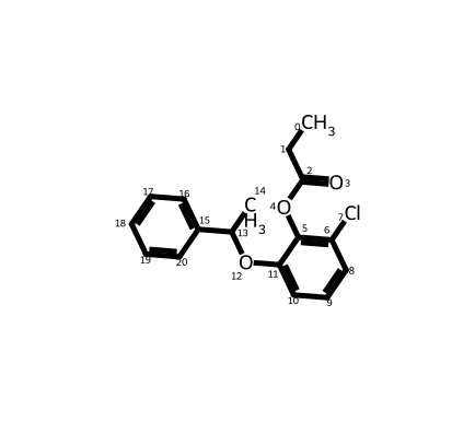 CCC(=O)Oc1c(Cl)cccc1OC(C)c1ccccc1